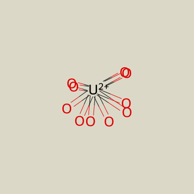 [O]=[U+2](=[O])(=[O])(=[O])(=[O])(=[O])(=[O])(=[O])(=[O])=[O]